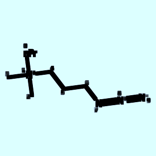 CCC[N+](C)(C)CCCN=[N+]=[N-]